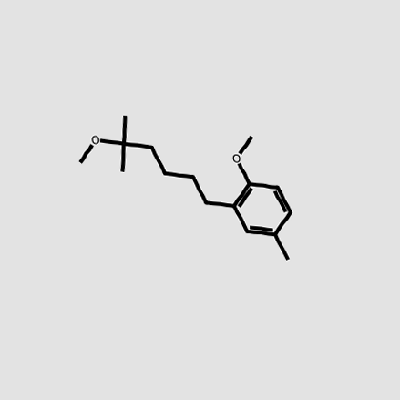 COc1ccc(C)cc1CCCCC(C)(C)OC